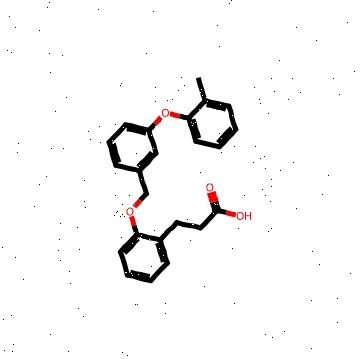 Cc1ccccc1Oc1cccc(COc2ccccc2CCC(=O)O)c1